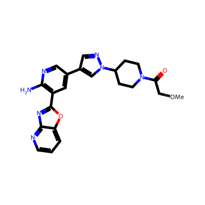 COCC(=O)N1CCC(n2cc(-c3cnc(N)c(-c4nc5ncccc5o4)c3)cn2)CC1